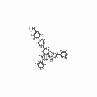 CCN(C(=O)C(CC(=O)N1CCN(c2ccc(N)cc2)CC1)C(=O)NS(=O)(=O)C=Cc1ccccc1)c1ccccc1